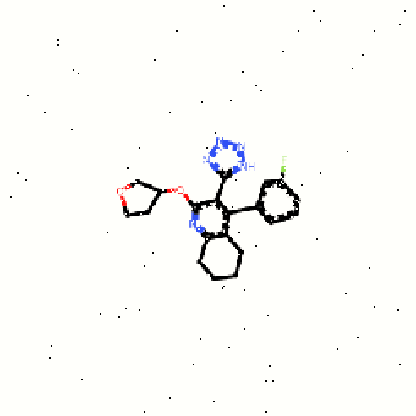 Fc1cccc(-c2c3c(nc(OC4CCOC4)c2-c2nnn[nH]2)CCCC3)c1